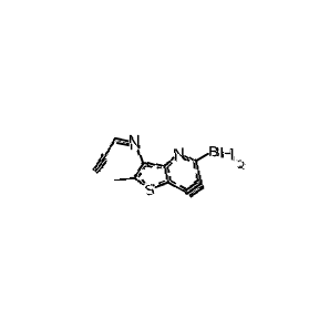 Bc1c#cc2sc(C)c(/N=C\C#C)c2n1